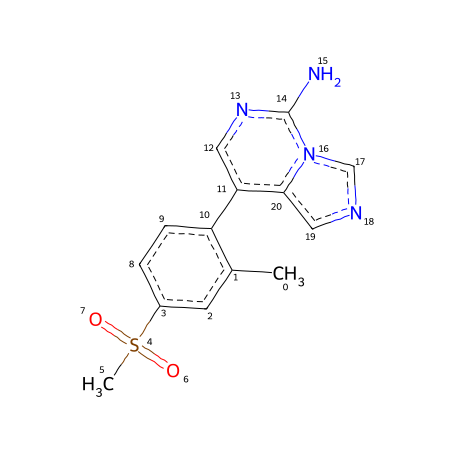 Cc1cc(S(C)(=O)=O)ccc1-c1cnc(N)n2cncc12